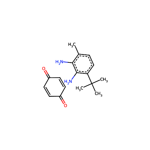 Cc1ccc(C(C)(C)C)c(N)c1N.O=C1C=CC(=O)C=C1